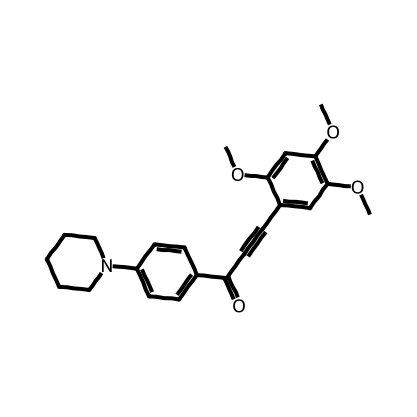 COc1cc(OC)c(OC)cc1C#CC(=O)c1ccc(N2CCCCC2)cc1